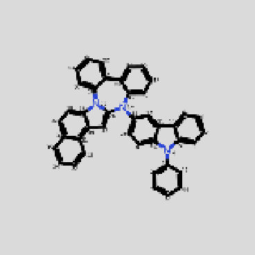 c1ccc(-n2c3ccccc3c3cc(N4c5ccccc5-c5ccccc5-n5c4cc4c6ccccc6ccc45)ccc32)cc1